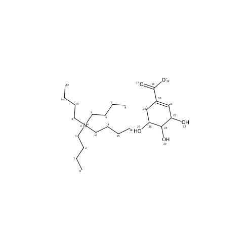 CCCC[N+](CCCC)(CCCC)CCCC.O=C([O-])C1=CC(O)C(O)C(O)C1